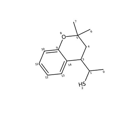 CC(S)C1CC(C)(C)Oc2ccccc21